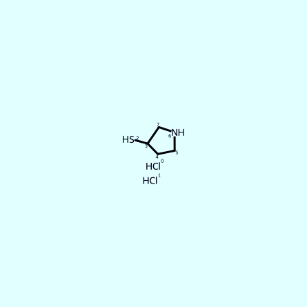 Cl.Cl.SC1CCNC1